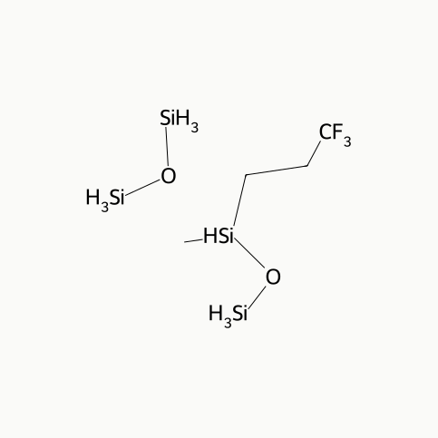 C[SiH](CCC(F)(F)F)O[SiH3].[SiH3]O[SiH3]